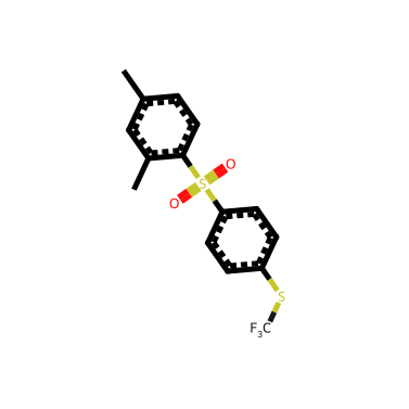 Cc1ccc(S(=O)(=O)c2ccc(SC(F)(F)F)cc2)c(C)c1